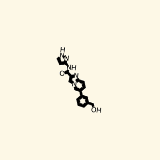 O=C(Nc1cc[nH]n1)c1cn2cc(-c3cccc(CO)c3)ccc2n1